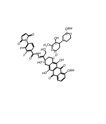 COc1cccc2c1C(=O)c1c(O)c3c(c(O)c1C2=O)C[C@@](O)(/C(CO)=N/NC(=O)c1ccc(N2C(=O)C=CC2=O)c(F)c1F)C[C@@H]3O[C@H]1CC(N2CCO[C@@H](OC)C2)[C@H](O)[C@H](C)O1